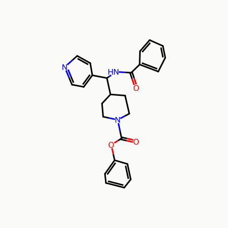 O=C(NC(c1ccncc1)C1CCN(C(=O)Oc2ccccc2)CC1)c1ccccc1